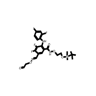 CC(C)(C)[Si](C)(C)OCCONC(=O)c1cc(/C=N/OCC=O)c(F)c(F)c1Nc1ccc(I)cc1F